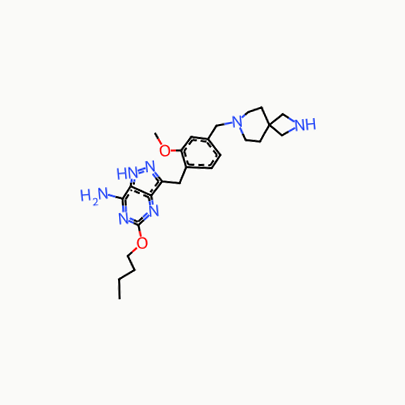 CCCCOc1nc(N)c2[nH]nc(Cc3ccc(CN4CCC5(CC4)CNC5)cc3OC)c2n1